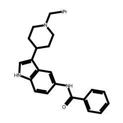 CC(C)CN1CCC(c2c[nH]c3ccc(NC(=O)c4ccccc4)cc23)CC1